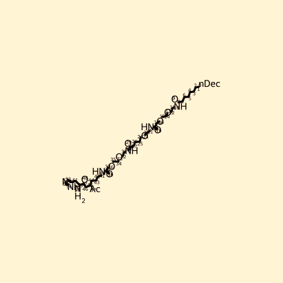 CCCCCCCCCCCCCCCCCC(=O)NCCOCCOCC(=O)NCCOCCCCC(=O)NCCOCCOCC(=O)NCCCC[C@H](CC(=O)[C@@H](N)Cc1cnc[nH]1)C(C)=O